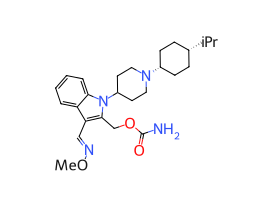 CON=Cc1c(COC(N)=O)n(C2CCN([C@H]3CC[C@@H](C(C)C)CC3)CC2)c2ccccc12